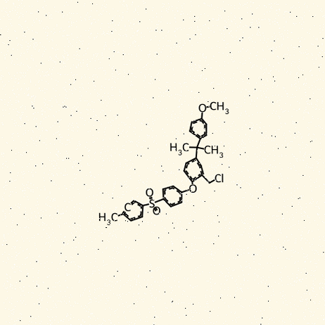 COc1ccc(C(C)(C)c2ccc(Oc3ccc(S(=O)(=O)c4ccc(C)cc4)cc3)c(CCl)c2)cc1